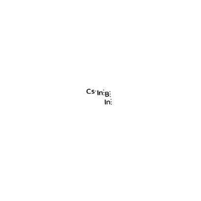 [B].[Cs].[In].[In]